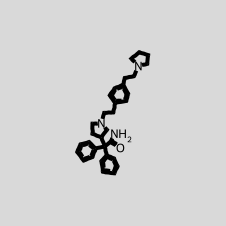 NC(=O)C(c1ccccc1)(c1ccccc1)C1CCN(CCc2ccc(CCN3CCCC3)cc2)C1